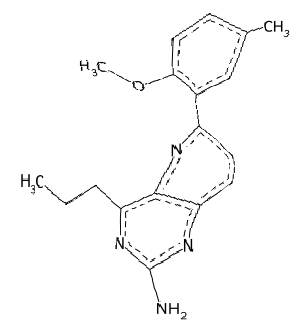 CCCc1nc(N)nc2ccc(-c3cc(C)ccc3OC)nc12